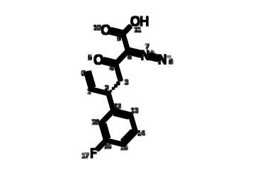 C=C[C@H](CC(=O)C(=[N+]=[N-])C(=O)O)c1cccc(F)c1